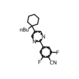 CCCCC1(c2cnc(-c3cc(F)c(C#N)c(F)c3)nc2)CCCCC1